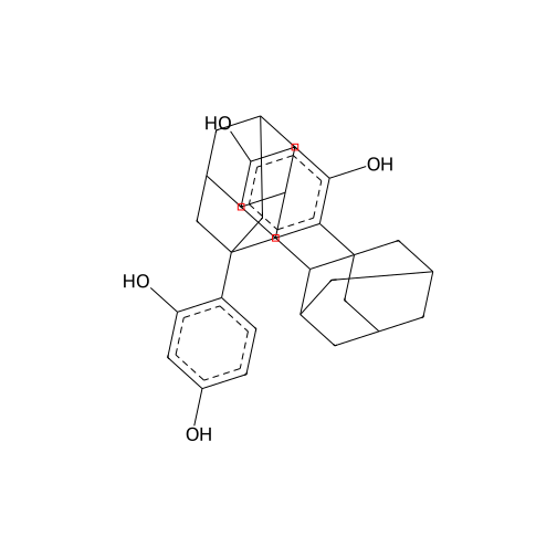 Oc1ccc(C23CC4CC(CC(C4)C2C2C4CC5CC(C4)CC2(c2ccc(O)cc2O)C5)C3)c(O)c1